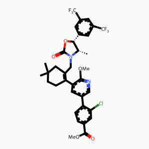 COC(=O)c1ccc(-c2cnc(OC)c(C3=C(CN4C(=O)O[C@H](c5cc(C(F)(F)F)cc(C(F)(F)F)c5)[C@@H]4C)CC(C)(C)CC3)c2)c(Cl)c1